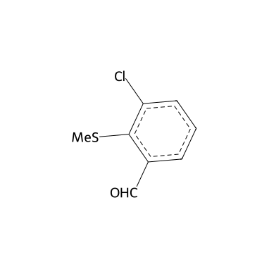 CSc1c(Cl)cccc1C=O